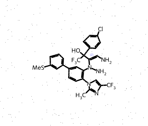 CSc1cccc(-c2ccc(-n3cc(C(F)(F)F)nc3C)c(N(N)/C(=C\N)C(O)(c3ccc(Cl)cc3)C(F)(F)F)c2)c1